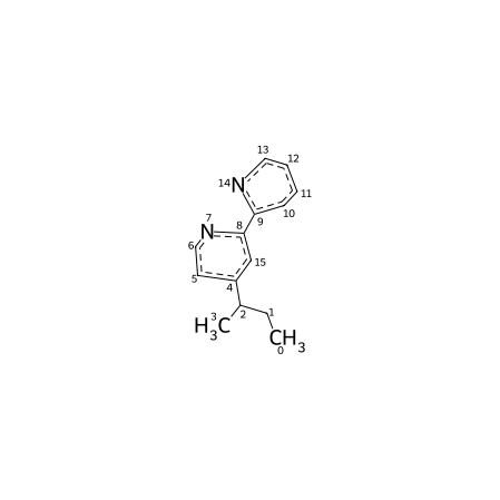 CCC(C)c1ccnc(-c2ccccn2)c1